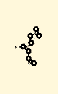 N#Cc1ccc2c(c1)c1cc(-c3ccc4oc5ccccc5c4c3)ccc1n2-c1ccc2oc3c(-n4c5ccccc5c5ccccc54)cccc3c2c1